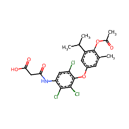 CC(=O)Oc1c(C)cc(Oc2c(Cl)cc(NC(=O)CC(=O)O)c(Cl)c2Cl)cc1C(C)C